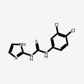 S=C(Nc1ccc(Cl)c(Cl)c1)Nc1ncc[nH]1